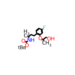 C[C@H](CCc1ccc(F)cc1O[C@H](C)CO)NC(=O)OC(C)(C)C